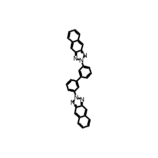 c1cc(-c2cccc(-n3nc4cc5ccccc5cc4n3)c2)cc(-n2nc3cc4ccccc4cc3n2)c1